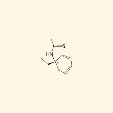 CC[C@@]1(NC(C)=S)C=CC=CC1